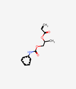 C=CC(=O)OC(C)COC(=O)Nc1ccccc1